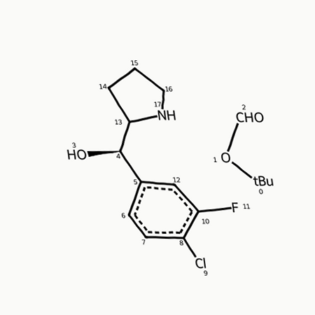 CC(C)(C)OC=O.O[C@H](c1ccc(Cl)c(F)c1)C1CCCN1